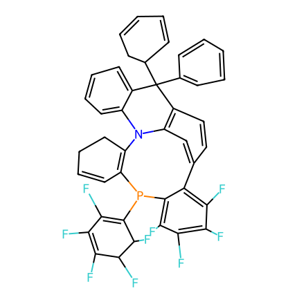 FC1=C(F)C(F)C(F)C(P2C3=C(CCC=C3)N3c4ccccc4C(c4ccccc4)(C4C=CC=CC4)c4ccc(cc43)-c3c(F)c(F)c(F)c(F)c32)=C1F